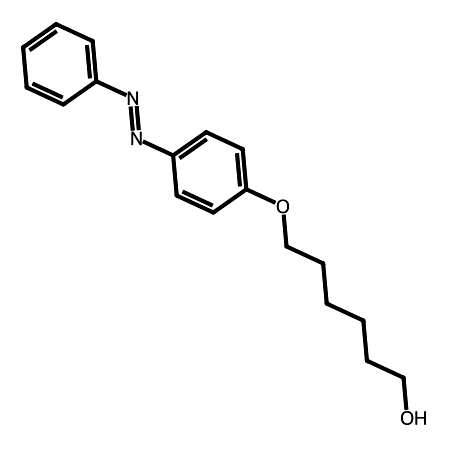 OCCCCCCOc1ccc(/N=N/c2ccccc2)cc1